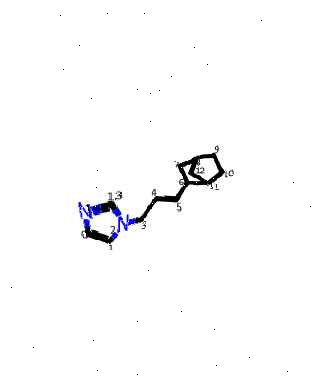 c1cn(CCCC2CC3CCC2C3)cn1